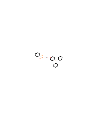 Cc1ccc(S(=O)(=O)OCCOc2ccc(P(c3ccccc3)c3ccccc3)cc2)cc1